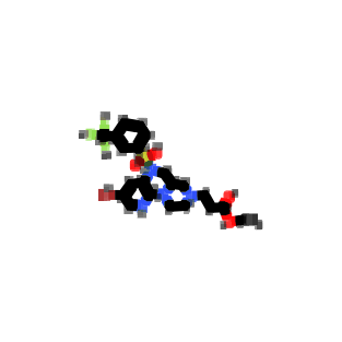 COC(=O)CCN1CCN2c3ncc(Br)cc3N(S(=O)(=O)c3cccc(C(F)(F)F)c3)CC2C1